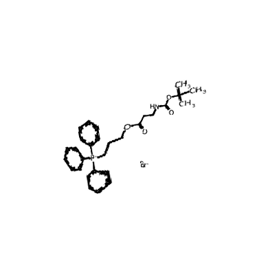 CC(C)(C)OC(=O)NCCC(=O)OCCC[P+](c1ccccc1)(c1ccccc1)c1ccccc1.[Br-]